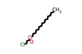 CCCCCCCCCCCCCCCCOC(=O)CCCl